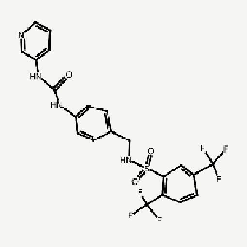 O=C(Nc1ccc(CNS(=O)(=O)c2cc(C(F)(F)F)ccc2C(F)(F)F)cc1)Nc1cccnc1